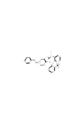 CC(C)(C)c1ccccc1Oc1ncccc1Nc1nc2c(s1)CN(CCc1ccccc1)CC2